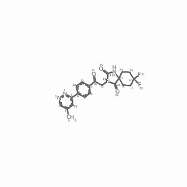 Cc1cnnc(-c2ccc(C(=O)CN3C(=O)NC4(CCC(F)(F)CC4)C3=O)cc2)c1